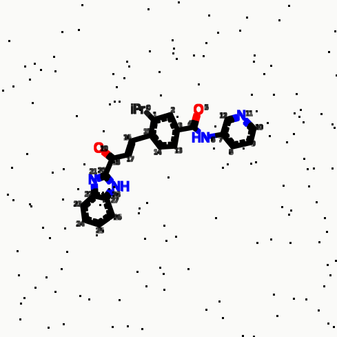 CC(C)c1cc(C(=O)Nc2cccnc2)ccc1C=CC(=O)c1nc2ccccc2[nH]1